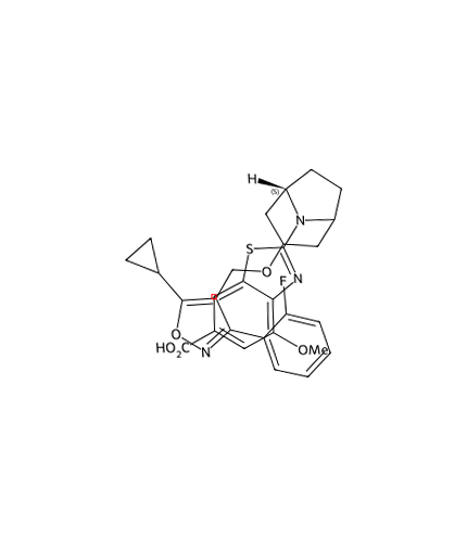 COc1cc(C(=O)O)cc2sc(N3C4CC[C@H]3CC(OCc3c(-c5ccccc5F)noc3C3CC3)C4)nc12